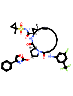 CC1(S(=O)(=O)NC(=O)[C@@]23C[C@H]2/C=C\CCCCC[C@H](Nc2cc(F)cc(C(F)(F)F)c2)C(=O)N2C[C@H](Oc4nc(-c5ccccc5)co4)C[C@H]2C(=O)N3)CC1